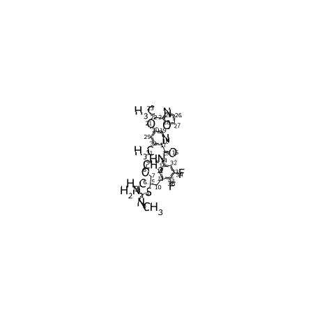 C/N=C(/N)S[C@@](C)(COC)Cc1cc(NC(=O)c2ncc(O[C@H](C)c3ncco3)cc2C)cc(F)c1F